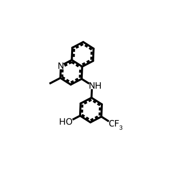 Cc1cc(Nc2cc(O)cc(C(F)(F)F)c2)c2ccccc2n1